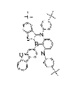 CC(C)(C)c1ccc(N2c3cc4c(cc3B3c5c2cccc5N(c2ccc(C(C)(C)C)cc2)C2c5cc(C(C)(C)C)ccc5SC32)oc2ccccc24)cc1